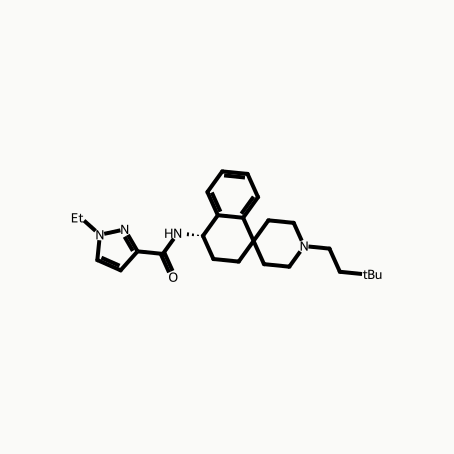 CCn1ccc(C(=O)N[C@H]2CCC3(CCN(CCC(C)(C)C)CC3)c3ccccc32)n1